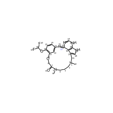 CN1CCCN(C)C(=O)COc2cc(ccc2OC(F)F)/N=C2/N=CNc3[nH]cc(c32)C1